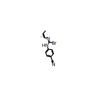 C/C=C\N=C(\Br)Nc1ccc(C#N)cc1